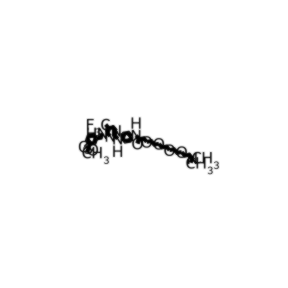 CN(C)CCOCCOCCOCCOCC(=O)Nc1ccc(Nc2ncc(C(F)(F)F)c(NCc3cccc(S(C)(=O)=O)c3)n2)cc1